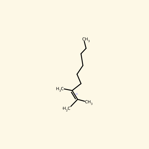 [CH2]/C(C)=C(\C)CCCCCC